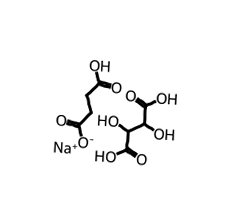 O=C(O)C(O)C(O)C(=O)O.O=C([O-])CCC(=O)O.[Na+]